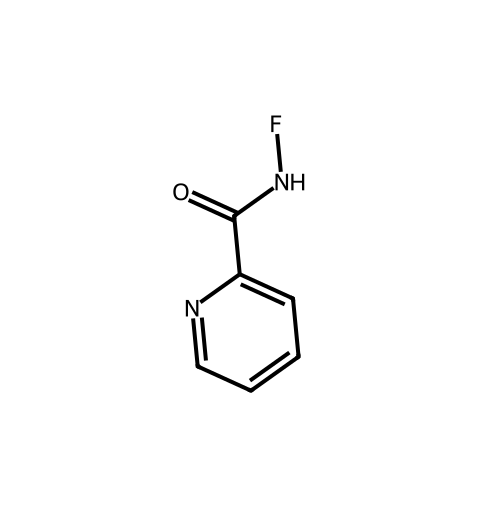 O=C(NF)c1ccccn1